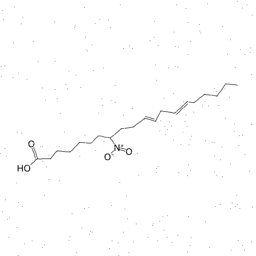 CCCCCC=CC/C=C/CCC(CCCCCCC(=O)O)[N+](=O)[O-]